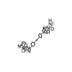 CC(N)C(=O)N[C@@H](C)c1ncc(-c2ccc(C#Cc3ccc(-c4cnc([C@@H]5CCCN5C(=O)[C@H](C(C)C)N(C)C)[nH]4)cc3)cc2)[nH]1